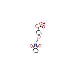 O=C(O)C(=O)c1ccc(OCCCN2C(=O)c3ccccc3C2=O)cc1